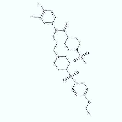 CCOc1ccc(S(=O)(=O)C2CCN(CCCN(C(=O)C3CCN(S(C)(=O)=O)CC3)c3ccc(Cl)c(Cl)c3)CC2)cc1